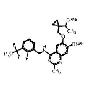 COc1cc2nc(C)nc(NCc3cccc(C(C)(F)F)c3F)c2cc1OCC1(C(C)OC)CC1